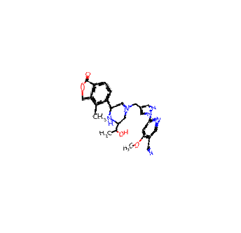 COc1cc(-n2cc(CN3CC(c4ccc5c(c4C)COC5=O)NC(C(C)O)C3)cn2)ncc1C#N